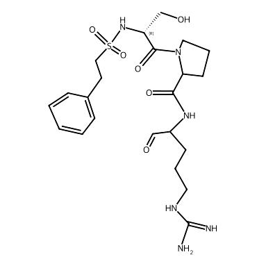 N=C(N)NCCCC(C=O)NC(=O)C1CCCN1C(=O)[C@@H](CO)NS(=O)(=O)CCc1ccccc1